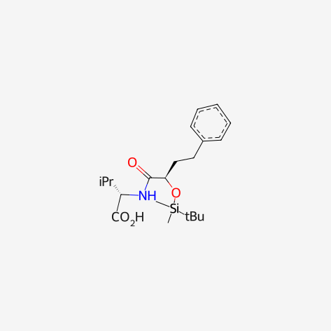 CC(C)[C@H](NC(=O)[C@@H](CCc1ccccc1)O[Si](C)(C)C(C)(C)C)C(=O)O